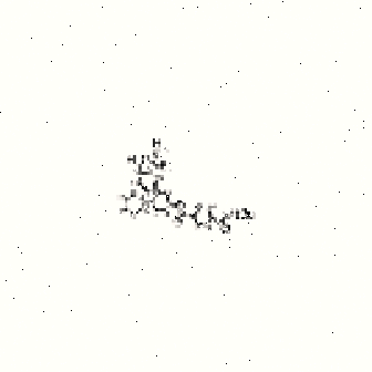 CCC(C)(C)c1ccc(C2(c3ccc(OC(=O)c4ccc(C(=O)OC(C)(C)C)cc4)cc3)CCCCC2)cc1